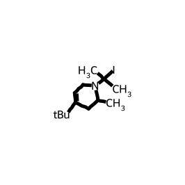 CC1CC(C(C)(C)C)=CCN1C(C)(C)I